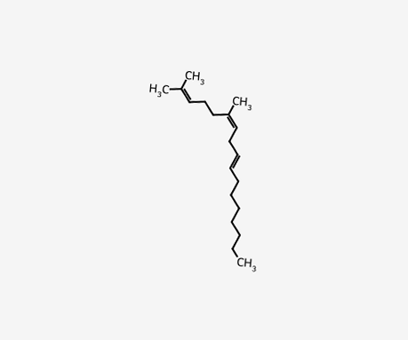 CCCCCCCC=CCC=C(C)CCC=C(C)C